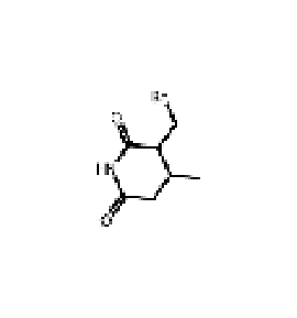 CC1CC(=O)NC(=O)C1CBr